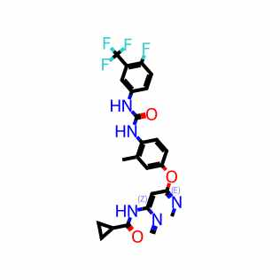 C=N/C(=C\C(=N/C)Oc1ccc(NC(=O)Nc2ccc(F)c(C(F)(F)F)c2)c(C)c1)NC(=O)C1CC1